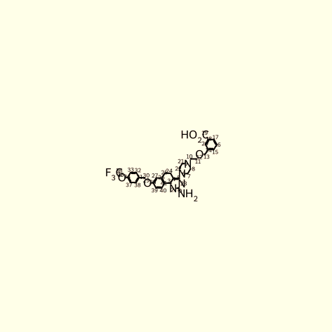 Nc1nc2c(c(N3CCN(CCOCc4cccc(C(=O)O)c4)CC3)n1)CCc1cc(OCc3ccc(OC(F)(F)F)cc3)ccc1-2